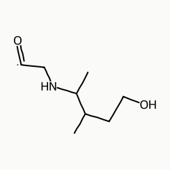 CC(CCO)C(C)NC[C]=O